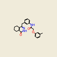 Cc1cccc(OCC(=O)Nc2cccc(Cc3n[nH]c(=O)c4c3CCCC4)c2)c1